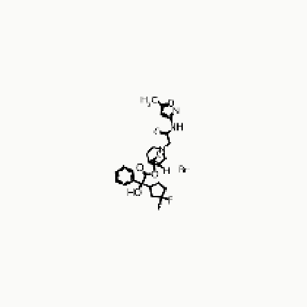 Cc1cc(NC(=O)C[N+]23CCC(CC2)[C@@H](OC(=O)C(O)(c2ccccc2)C2CCC(F)(F)C2)C3)no1.[Br-]